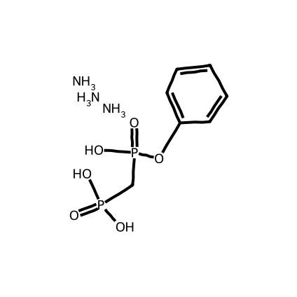 N.N.N.O=P(O)(O)CP(=O)(O)Oc1ccccc1